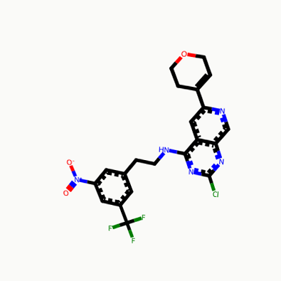 O=[N+]([O-])c1cc(CCNc2nc(Cl)nc3cnc(C4=CCOCC4)cc23)cc(C(F)(F)F)c1